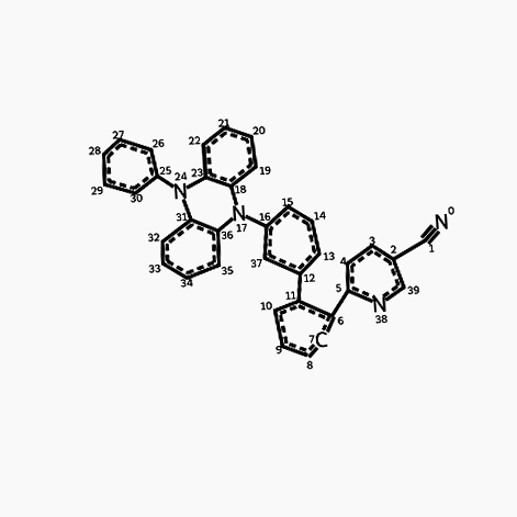 N#Cc1ccc(-c2ccccc2-c2cccc(N3c4ccccc4N(c4ccccc4)c4ccccc43)c2)nc1